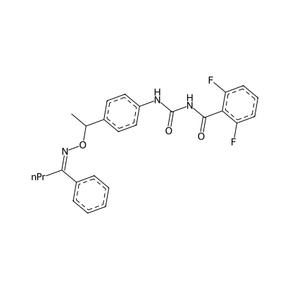 CCCC(=NOC(C)c1ccc(NC(=O)NC(=O)c2c(F)cccc2F)cc1)c1ccccc1